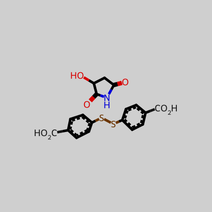 O=C(O)c1ccc(SSc2ccc(C(=O)O)cc2)cc1.O=C1CC(O)C(=O)N1